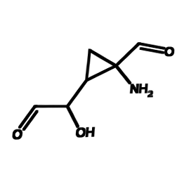 NC1(C=O)CC1C(O)C=O